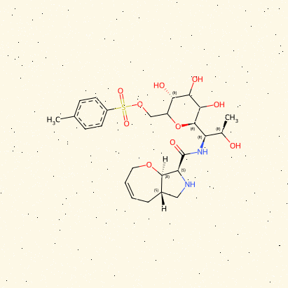 Cc1ccc(S(=O)(=O)OCC2O[C@H]([C@H](NC(=O)[C@H]3NC[C@@H]4CC=CCO[C@H]43)[C@@H](C)O)C(O)C(O)[C@H]2O)cc1